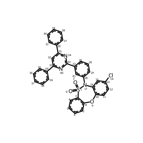 O=S1(=O)c2ccccc2Oc2ccc(Cl)cc2N1c1cccc(-c2nc(-c3ccccc3)cc(-c3ccccc3)n2)c1